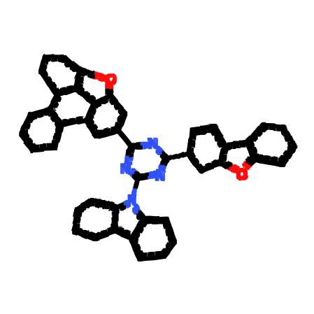 c1ccc2c(c1)oc1cc(-c3nc(-c4cc5oc6cccc7c8ccccc8c(c4)c5c67)nc(-n4c5ccccc5c5ccccc54)n3)ccc12